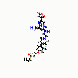 C[S@+]([O-])CCOc1ccc(N2CCN(CCNc3nc(N)n4nc(-c5ccco5)cc4n3)CC2)c(F)c1